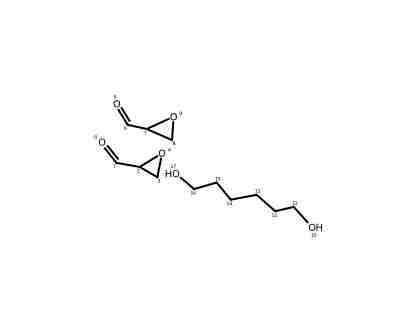 O=CC1CO1.O=CC1CO1.OCCCCCCO